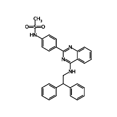 CS(=O)(=O)Nc1ccc(-c2nc(NCC(c3ccccc3)c3ccccc3)c3ccccc3n2)cc1